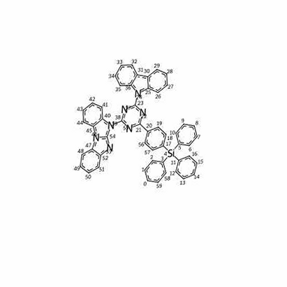 c1ccc([Si](c2ccccc2)(c2ccccc2)c2ccc(-c3nc(-n4c5ccccc5c5ccccc54)nc(-n4c5ccccc5n5c6ccccc6nc45)n3)cc2)cc1